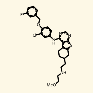 COCCNCCC1CCc2c(sc3ncnc(Nc4ccc(OCc5cccc(F)c5)c(Cl)c4)c23)C1